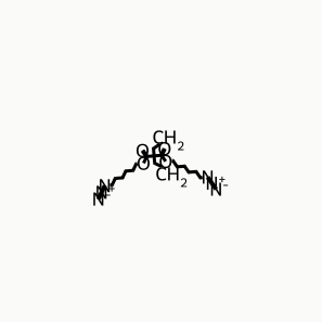 C=CCC(CC=C)(C(=O)OCCCCCCN=[N+]=[N-])C(=O)OCCCCCCN=[N+]=[N-]